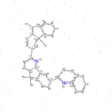 CC1=C(/C=C\C(C)c2ccc3c(n2)-c2cc(-c4ccc5ccccc5n4)ccc2C3(C)C)C(C)(C)c2ccccc21